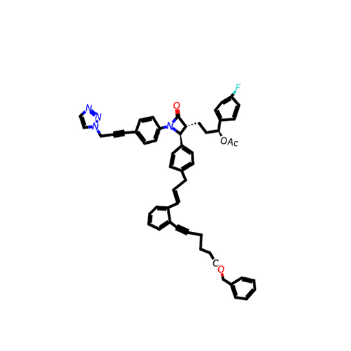 CC(=O)O[C@@H](CC[C@H]1C(=O)N(c2ccc(C#CCn3ccnn3)cc2)[C@@H]1c1ccc(CC=Cc2ccccc2C#CCCCCOCc2ccccc2)cc1)c1ccc(F)cc1